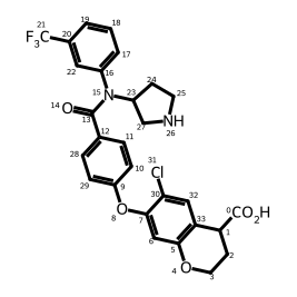 O=C(O)C1CCOc2cc(Oc3ccc(C(=O)N(c4cccc(C(F)(F)F)c4)C4CCNC4)cc3)c(Cl)cc21